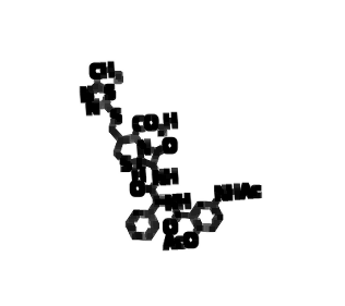 CC(=O)Nc1ccc(OC(C)=O)c(C(=O)N[C@H](C(=O)NC2C(=O)N3C(C(=O)O)=C(CSc4nnc(C)s4)CS[C@@H]23)c2ccccc2)c1